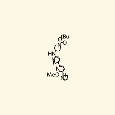 COc1nc(-c2ccc(NC3CCN(C(=O)OC(C)(C)C)CC3)nn2)ccc1-n1cccn1